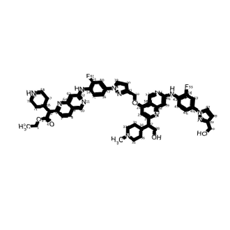 CCOC(=O)C(c1ccc2cnc(Nc3ccc(-n4ccc(COc5cc(C(CO)C6CCN(C)CC6)nc6cc(Nc7ccc(-n8ccc(CO)n8)cc7F)ncc56)n4)cc3F)cc2n1)C1CCNCC1